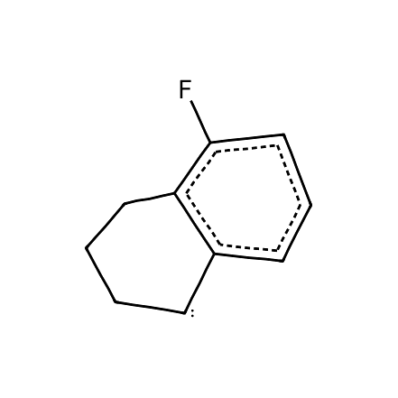 Fc1cccc2c1CCC[C]2